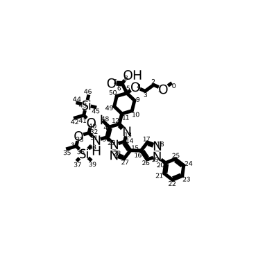 COCCOC1(C(=O)O)CCC(c2nc3c(-c4cnn(-c5ccccc5)c4)cnn3c(NC(OC(C)[Si](C)(C)C)OC(C)[Si](C)(C)C)c2I)CC1